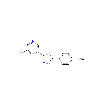 CSc1ccc(-c2cnc(-c3cncc(F)c3)s2)cc1